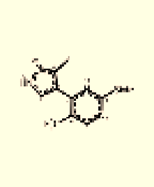 CSc1ncc(C(F)(F)F)c(-c2c[nH]nc2C)n1